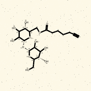 C#CCCCCC(=O)OCC1O[C@H](O[C@H]2OC(CO)[C@@H](O)C(O)C2O)C(O)C(O)[C@@H]1O